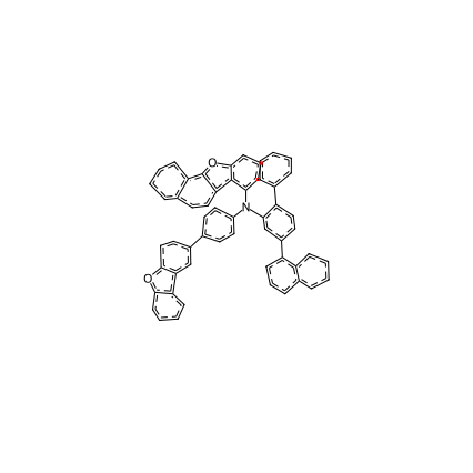 c1ccc(-c2ccc(-c3cccc4ccccc34)cc2N(c2ccc(-c3ccc4oc5ccccc5c4c3)cc2)c2cccc3oc4c5ccccc5ccc4c23)cc1